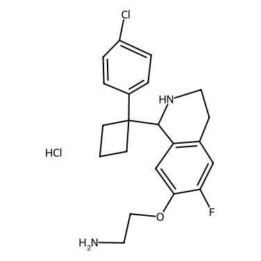 Cl.NCCOc1cc2c(cc1F)CCNC2C1(c2ccc(Cl)cc2)CCC1